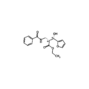 CCOC(=O)[C@H](CNC(=O)c1ccccc1)[C@H](O)c1ccco1